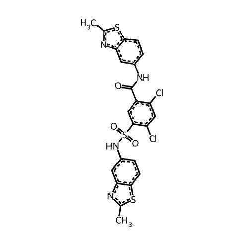 Cc1nc2cc(NC(=O)c3cc(S(=O)(=O)Nc4ccc5sc(C)nc5c4)c(Cl)cc3Cl)ccc2s1